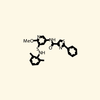 COc1ncc(NC(=O)c2csc(-c3ccccc3)n2)cc1SNc1c(C)cccc1C